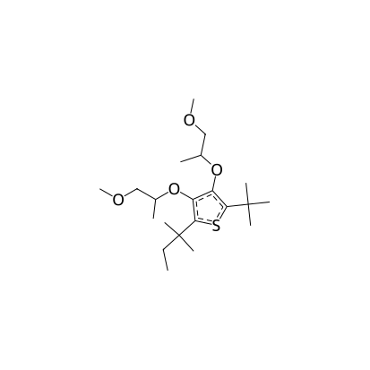 CCC(C)(C)c1sc(C(C)(C)C)c(OC(C)COC)c1OC(C)COC